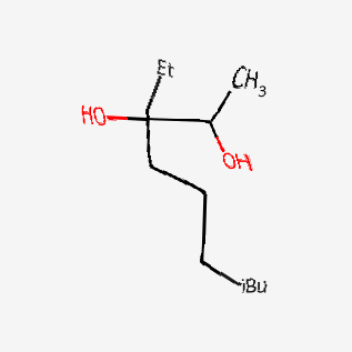 CCC(C)CCCC(O)(CC)C(C)O